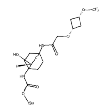 CC(C)(C)OC(=O)NC12CCC(NC(=O)CO[C@H]3C[C@@H](OC(F)(F)F)C3)(CC1)C[C@H]2O